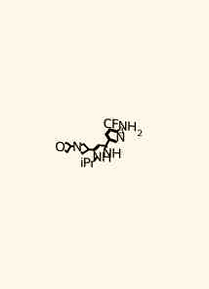 CC(C)N/C(=C\C(=N)c1cnc(N)c(C(F)(F)F)c1)C1CN(C2COC2)C1